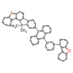 CC1(C)c2cc(-c3c4ccccc4c(-c4cccc(-c5cccc6oc7ccccc7c56)c4)c4ccccc34)ccc2-c2ccc3sc4ccccc4c3c21